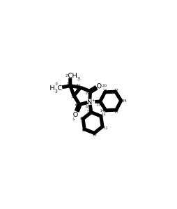 CC1(C)C2C(=O)[N+](C3CCCCC3)(C3CCCCC3)C(=O)C21